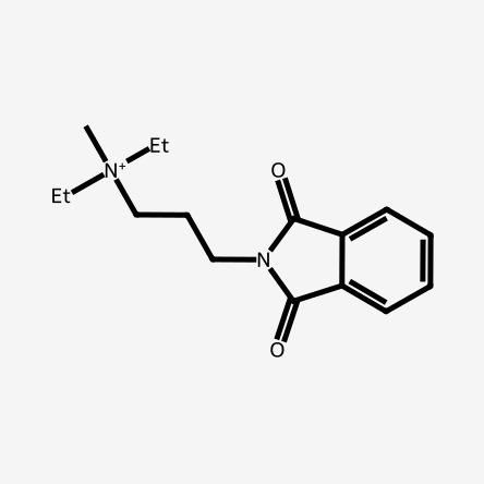 CC[N+](C)(CC)CCCN1C(=O)c2ccccc2C1=O